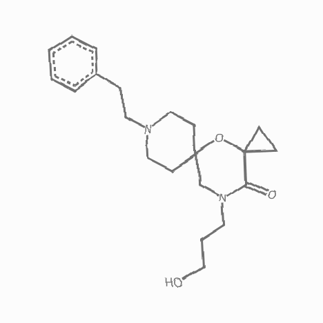 O=C1N(CCCO)CC2(CCN(CCc3ccccc3)CC2)OC12CC2